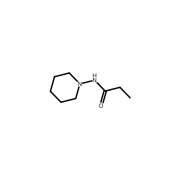 CCC(=O)NN1CCCCC1